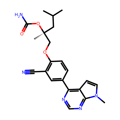 CC(C)C[C@@](C)(COc1ccc(-c2ncnc3c2ccn3C)cc1C#N)OC(N)=O